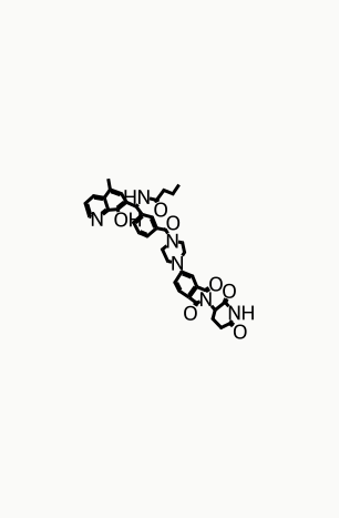 CCCC(=O)NC(c1cccc(C(=O)N2CCN(c3ccc4c(c3)C(=O)N(C3CCC(=O)NC3=O)C4=O)CC2)c1)c1cc(C)c2cccnc2c1O